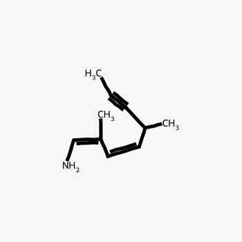 CC#CC(C)/C=C\C(C)=C/N